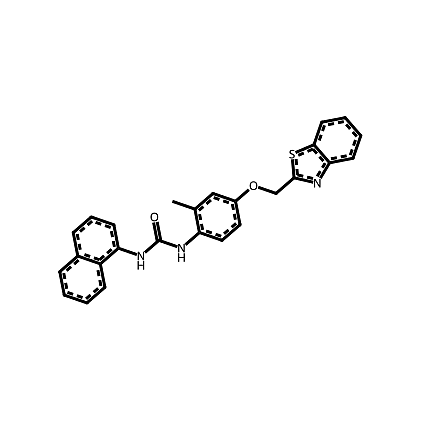 Cc1cc(OCc2nc3ccccc3s2)ccc1NC(=O)Nc1cccc2ccccc12